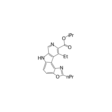 CCCc1nc2c(ccc3[nH]c4cnc(C(=O)OC(C)C)c(CC)c4c32)o1